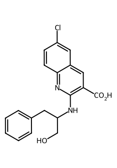 O=C(O)c1cc2cc(Cl)ccc2nc1NC(CO)Cc1ccccc1